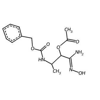 CC(=O)OC(C(N)=NO)C(C)NC(=O)OCc1ccccc1